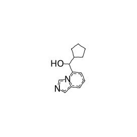 OC(c1cccc2cncn12)C1CCCC1